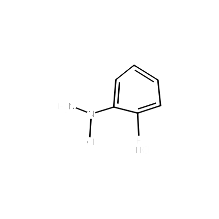 Cl.NN(Cl)c1ccccc1F